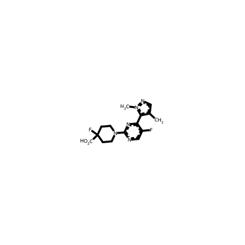 Cc1cnn(C)c1-c1nc(N2CCC(F)(C(=O)O)CC2)ncc1F